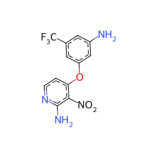 Nc1cc(Oc2ccnc(N)c2[N+](=O)[O-])cc(C(F)(F)F)c1